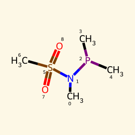 CN(P(C)C)S(C)(=O)=O